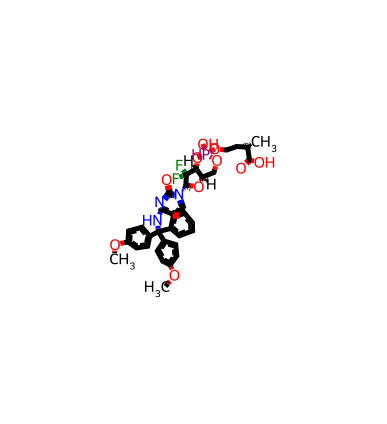 COc1ccc(C(Nc2ccn([C@@H]3O[C@@H]4CO[PH](O)(OCC[C@@H](C)C(=O)O)O[C@H]4C3(F)F)c(=O)n2)(c2ccccc2)c2ccc(OC)cc2)cc1